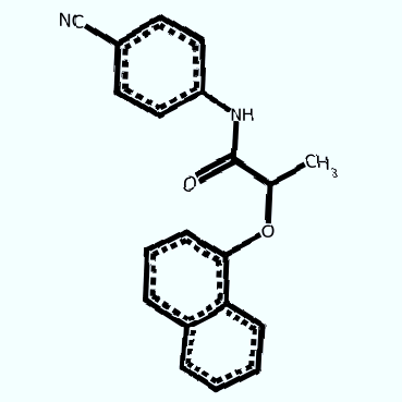 CC(Oc1cccc2ccccc12)C(=O)Nc1ccc(C#N)cc1